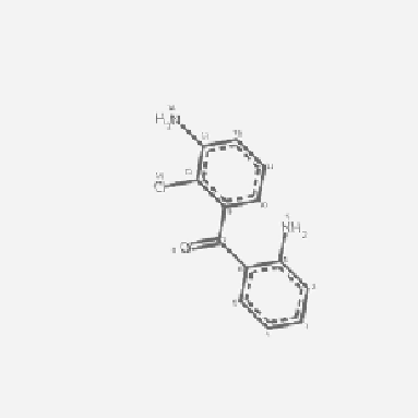 Nc1ccccc1C(=O)c1cccc(N)c1Cl